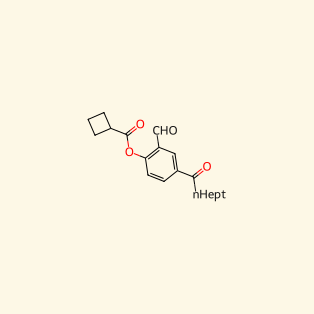 CCCCCCCC(=O)c1ccc(OC(=O)C2CCC2)c(C=O)c1